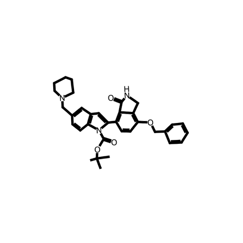 CC(C)(C)OC(=O)n1c(-c2ccc(OCc3ccccc3)c3c2C(=O)NC3)cc2cc(CN3CCCCC3)ccc21